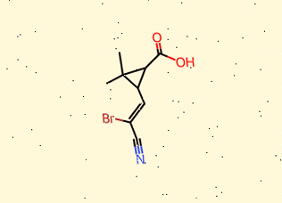 CC1(C)C(C=C(Br)C#N)C1C(=O)O